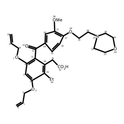 C=CCOc1cc(OCC=C)c(C(=O)c2ccc(OCCN3CCOCC3)c(OC)c2)c(CC(=O)O)c1CC